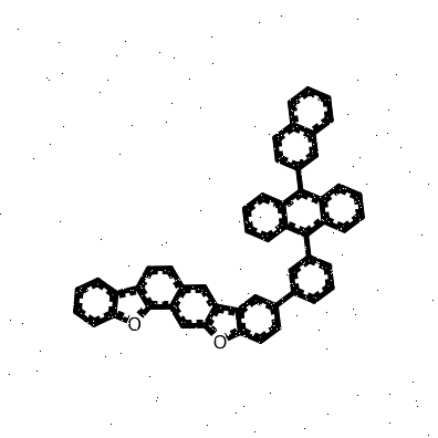 c1cc(-c2ccc3oc4cc5c(ccc6c7ccccc7oc56)cc4c3c2)cc(-c2c3ccccc3c(-c3ccc4ccccc4c3)c3ccccc23)c1